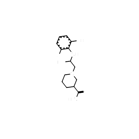 Cc1cccc(C)c1NC(O)CN1CCCC(C(N)=O)C1